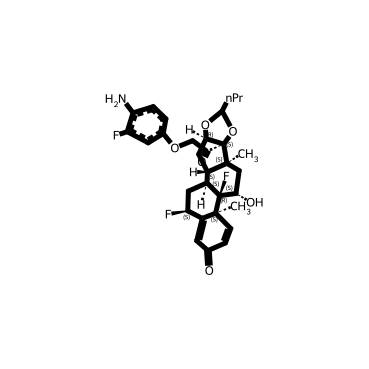 CCCC1O[C@@H]2C[C@H]3[C@@H]4C[C@H](F)C5=CC(=O)C=C[C@]5(C)[C@@]4(F)[C@@H](O)C[C@]3(C)[C@]2(C(=O)COc2ccc(N)c(F)c2)O1